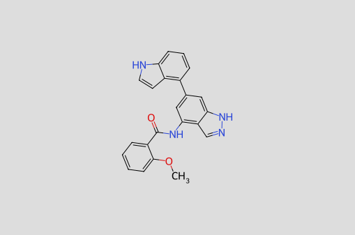 COc1ccccc1C(=O)Nc1cc(-c2cccc3[nH]ccc23)cc2[nH]ncc12